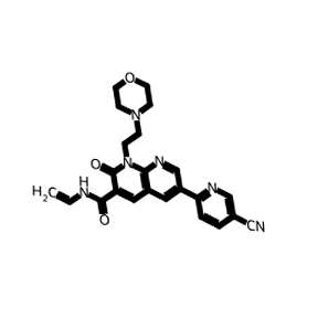 C=CNC(=O)c1cc2cc(-c3ccc(C#N)cn3)cnc2n(CCN2CCOCC2)c1=O